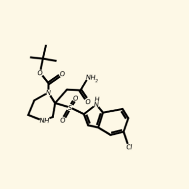 CC(C)(C)OC(=O)N1CCNCC1(CC(N)=O)S(=O)(=O)c1cc2cc(Cl)ccc2[nH]1